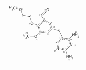 COCCOc1c(C=O)cc(Cc2cnc(N)nc2N)cc1OC